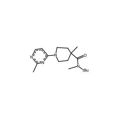 Cc1nccc(N2CCC(C)(C(=O)N(C)C(C)(C)C)CC2)n1